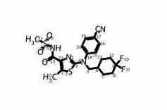 Cc1sc(N(CC2CCC(F)(F)CC2)c2ccc(C#N)cc2)nc1C(=O)NS(C)(=O)=O